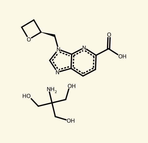 NC(CO)(CO)CO.O=C(O)c1ccc2ncn(C[C@@H]3CCO3)c2n1